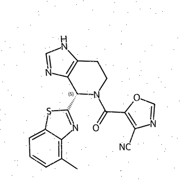 Cc1cccc2sc([C@@H]3c4nc[nH]c4CCN3C(=O)c3ocnc3C#N)nc12